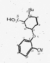 CC(C)(C)N1CCC(Oc2ccccc2C#N)CC1C(=O)O